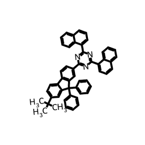 CC(C)(C)c1ccc2c(c1)C(c1ccccc1)(c1ccccc1)c1cc(-c3nc(-c4cccc5ccccc45)nc(-c4cccc5ccccc45)n3)ccc1-2